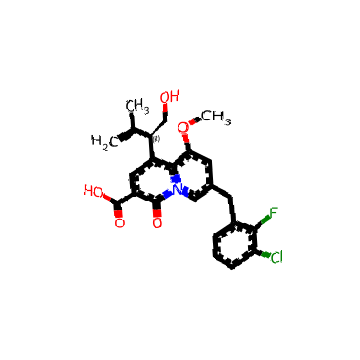 C=C(C)[C@@H](CO)c1cc(C(=O)O)c(=O)n2cc(Cc3cccc(Cl)c3F)cc(OC)c12